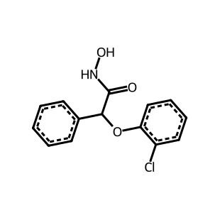 O=C(NO)C(Oc1ccccc1Cl)c1ccccc1